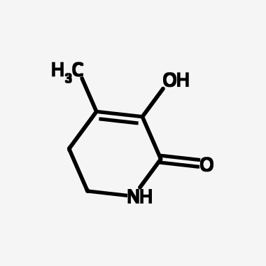 CC1=C(O)C(=O)NCC1